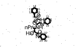 CCCC(NC(=O)[C@H](CS(=O)(=O)Cc1ccccc1)NC1CCCCC1)[C@H](O)c1nc2ccccc2o1